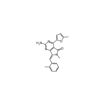 Cc1ccc(-c2nc(N)nc3c2C(=O)N(C)/C3=C\c2ccccc2C)o1